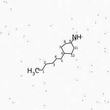 CCCCCCC1CCC([NH])CC1